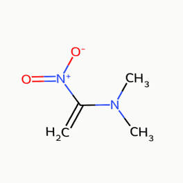 C=C(N(C)C)[N+](=O)[O-]